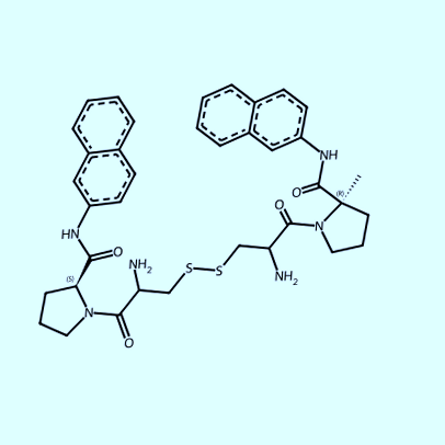 C[C@]1(C(=O)Nc2ccc3ccccc3c2)CCCN1C(=O)C(N)CSSCC(N)C(=O)N1CCC[C@H]1C(=O)Nc1ccc2ccccc2c1